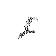 COc1cc2c(cc1OSOON)CCC1C2CC[C@@]2(C)C1CC[C@@H]2OC(N)=O